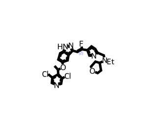 CCN(Cc1ccc(/C(F)=C/c2n[nH]c3ccc(OC(C)c4c(Cl)cncc4Cl)cc23)cn1)C1CCOCC1